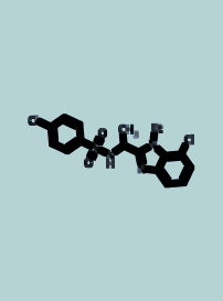 CCn1c(C(C)NS(=O)(=O)c2ccc(Cl)cc2)nc2cccc(Cl)c21